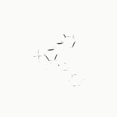 CC(C)(C)c1cc(C=C2SC=CNC2=O)cc(C(C)(C)COC2CCCCO2)c1O